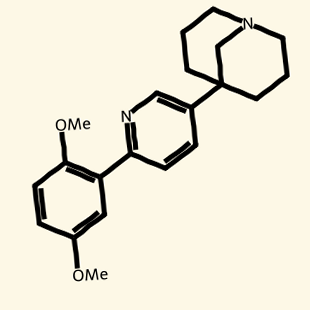 COc1ccc(OC)c(-c2ccc(C34CCCN(CCC3)C4)cn2)c1